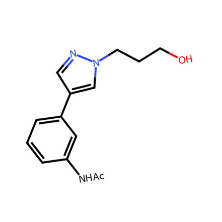 CC(=O)Nc1cccc(-c2cnn(CCCO)c2)c1